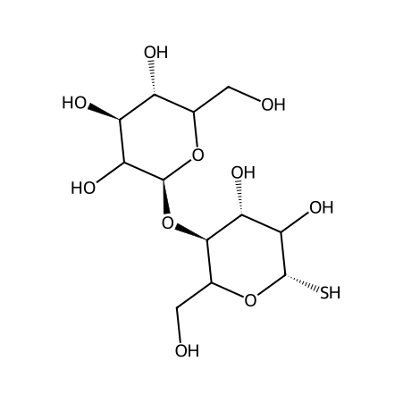 OCC1O[C@@H](O[C@@H]2C(CO)O[C@@H](S)C(O)[C@H]2O)C(O)[C@@H](O)[C@@H]1O